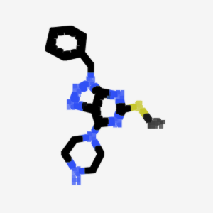 CCCSc1nc(N2CCNCC2)c2nnn(Cc3ccccc3)c2n1